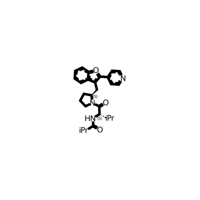 CC(C)C(=O)N[C@H](C(=O)N1CCC[C@H]1Cc1c(-c2ccncc2)oc2ccccc12)C(C)C